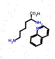 NCCCC[C@H](N)C(=O)O.c1ccc2ncccc2c1